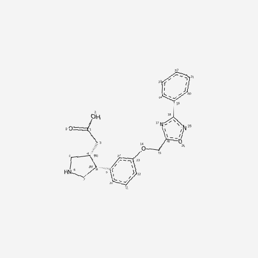 O=C(O)C[C@H]1CNC[C@H]1c1cccc(OCc2nc(-c3ccccc3)no2)c1